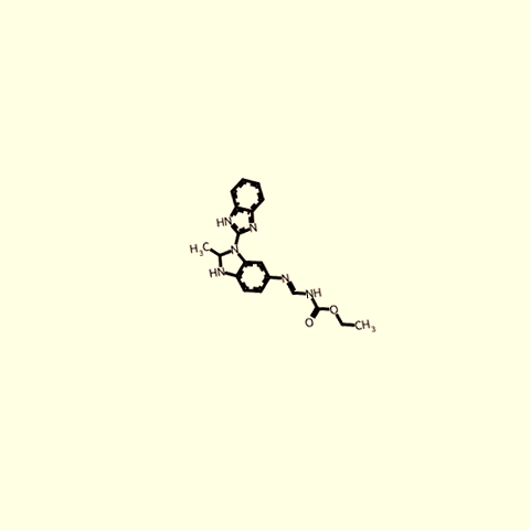 CCOC(=O)NC=Nc1ccc2c(c1)N(c1nc3ccccc3[nH]1)C(C)N2